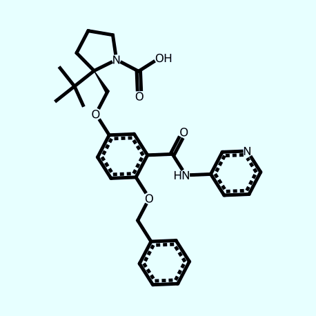 CC(C)(C)[C@]1(COc2ccc(OCc3ccccc3)c(C(=O)Nc3cccnc3)c2)CCCN1C(=O)O